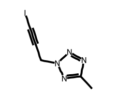 Cc1nnn(CC#CI)n1